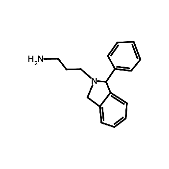 NCCCN1Cc2ccccc2C1c1ccccc1